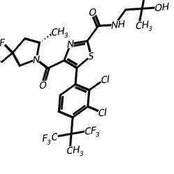 C[C@H]1CC(F)(F)CN1C(=O)c1nc(C(=O)NCC(C)(C)O)sc1-c1ccc(C(C)(C(F)(F)F)C(F)(F)F)c(Cl)c1Cl